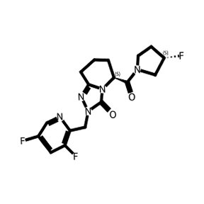 O=C([C@@H]1CCCc2nn(Cc3ncc(F)cc3F)c(=O)n21)N1CC[C@H](F)C1